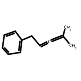 CC(C)=C=[C]Cc1ccccc1